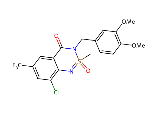 COc1ccc(CN2C(=O)c3cc(C(F)(F)F)cc(Cl)c3N=S2(C)=O)cc1OC